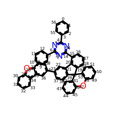 c1ccc(-c2nc(-c3ccccc3)nc(-c3cccc4c3-c3cc(-c5ccc6oc7ccccc7c6c5)ccc3C43c4ccccc4Oc4ccccc43)n2)cc1